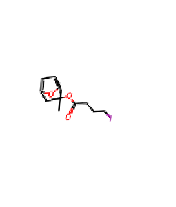 CC1(OC(=O)CCCI)Cc2ccc1o2